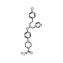 NC(=O)N1CCN(c2ccc(OC(CCc3ccc(Cl)cc3)Cn3ccnc3)cc2)CC1